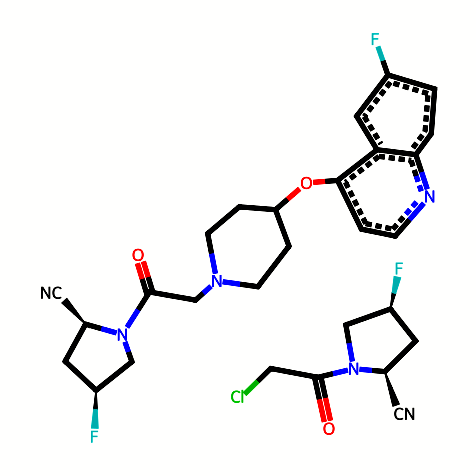 N#C[C@@H]1C[C@H](F)CN1C(=O)CCl.N#C[C@@H]1C[C@H](F)CN1C(=O)CN1CCC(Oc2ccnc3ccc(F)cc23)CC1